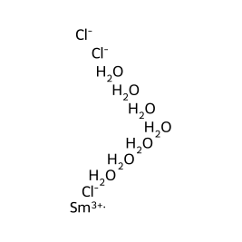 O.O.O.O.O.O.O.[Cl-].[Cl-].[Cl-].[Sm+3]